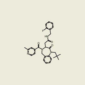 Cc1cc(C(=O)N2Cc3ccccc3N(CC(C)(C)C)C(=O)C2CC(=O)NCc2ccccc2F)ccn1